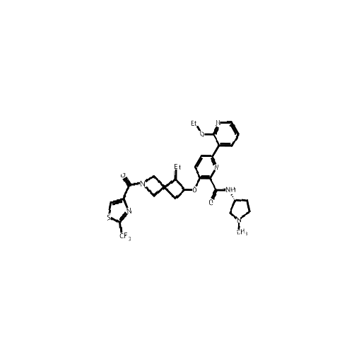 CCOc1ncccc1-c1ccc(OC2CC3(CN(C(=O)c4csc(C(F)(F)F)n4)C3)C2CC)c(C(=O)N[C@@H]2CCN(C)C2)n1